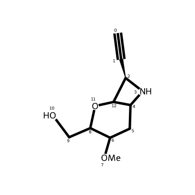 C#C[C@H]1NC2CC(OC)C(CO)OC21